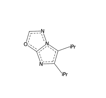 CC(C)c1nc2ocnn2c1C(C)C